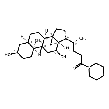 C[C@H](CCC(=O)N1CCCCC1)[C@H]1CC[C@H]2[C@@H]3CC[C@@H]4C[C@H](O)CC[C@]4(C)[C@H]3C[C@H](O)[C@]12C